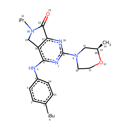 CCC(C)c1ccc(Nc2nc(N3CCO[C@H](C)C3)nc3c2CN(C(C)C)C3=O)cc1